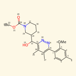 COc1cc(C)ccc1-c1nnc(C(O)C2CCCN(C(=O)OC(C)(C)C)C2)c(C)c1C